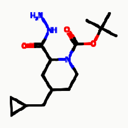 CC(C)(C)OC(=O)N1CCC(CC2CC2)CC1C(=O)NN